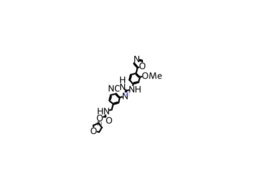 COc1cc(N/C(=N/c2cccc(CNC(=O)O[C@H]3CCOC3)c2)NC#N)ccc1-c1cnco1